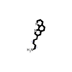 N/C=C\C=C/Cc1cnc2c(ccc3cccnc32)c1